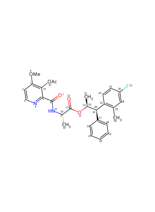 COc1ccnc(C(=O)N[C@@H](C)C(=O)O[C@@H](C)[C@H](c2ccccc2)c2ccc(F)cc2C)c1OC(C)=O